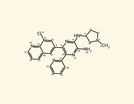 CN1CCC(Nc2nc(-c3cc(Cl)c4ncccc4c3)c(-c3ccccc3)nc2N)C1